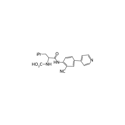 CC(C)CC(NC(=O)O)C(=O)Nc1ccc(-c2ccncc2)cc1C#N